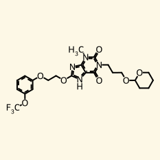 Cn1c(=O)n(CCCOC2CCCCO2)c(=O)c2[nH]c(OCCOc3cccc(OC(F)(F)F)c3)nc21